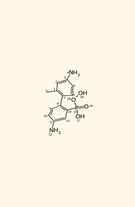 Cc1cc(N)ccc1-c1ccc(N)cc1P(=O)(O)OO